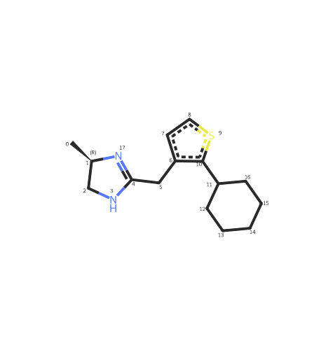 C[C@@H]1CNC(Cc2ccsc2C2CCCCC2)=N1